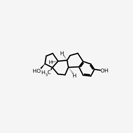 C[C@]12CC[C@@H]3c4ccc(O)cc4CC[C@@H]3[C@@H]1CC[C@@H]2O